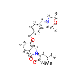 C=CCCC(C(=O)NC)N1Cc2c(OCc3ccc(CN4CC(C)OC(C)C4)cc3)cccc2C1=O